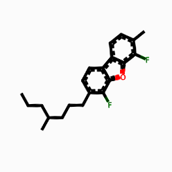 CCCC(C)CCCc1ccc2c(oc3c(F)c(C)ccc32)c1F